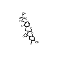 O=C1Oc2cc(O)c(F)cc2C2(COC2)N1Cc1ccnc(NS(=O)(=O)C2CC2)c1F